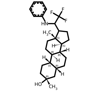 C[C@@]1(O)CC[C@H]2[C@H](CC[C@@H]3[C@@H]2CC[C@]2(C)C(C(Nc4ccccc4)C(F)(F)F)CC[C@@H]32)C1